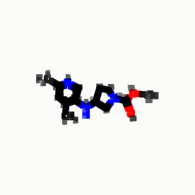 Cc1cc(C(F)(F)F)ncc1NC1CCN(C(=O)OC(C)(C)C)C1